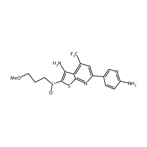 COCCC[S+]([O-])c1sc2nc(-c3ccc(N)nc3)cc(C(F)(F)F)c2c1N